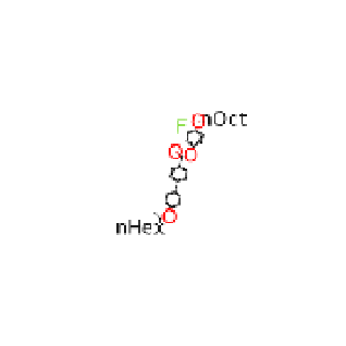 CCCCCCCCOc1ccc(OC(=O)c2ccc(-c3ccc(OC(C)CCCCCC)cc3)cc2)cc1F